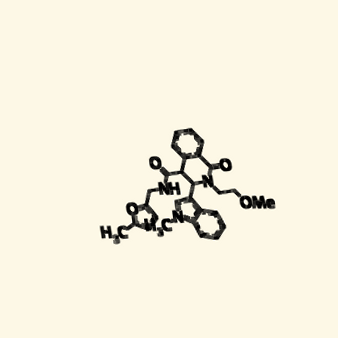 COCCN1C(=O)c2ccccc2C(C(=O)NCc2ccc(C)o2)C1c1cn(C)c2ccccc12